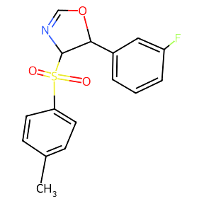 Cc1ccc(S(=O)(=O)C2N=COC2c2cccc(F)c2)cc1